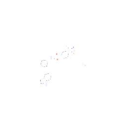 O=C(NS(=O)(=O)c1ccc(NC2CCC(N3CCOCC3)CC2)c([N+](=O)[O-])c1)c1ccccc1Oc1cc2cc[nH]c2cc1F